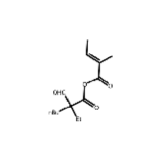 CC=C(C)C(=O)OC(=O)C(C=O)(CC)CCCC